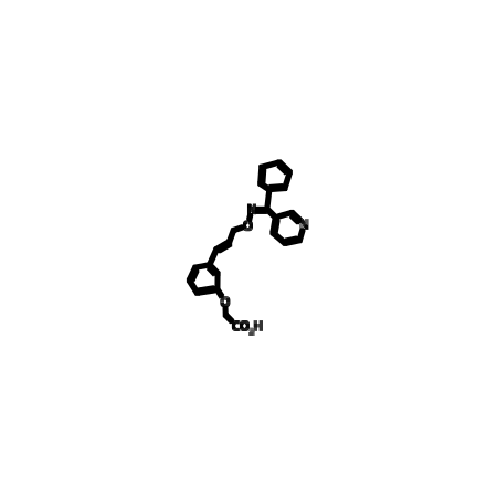 O=C(O)COc1cccc(C=CCON=C(c2ccccc2)c2cccnc2)c1